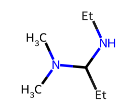 CCNC(CC)N(C)C